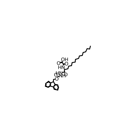 CCCCCCCCCCCCCCC(NC(=O)C(=O)O)C(=O)NNC(=O)OCC1c2ccccc2-c2ccccc21